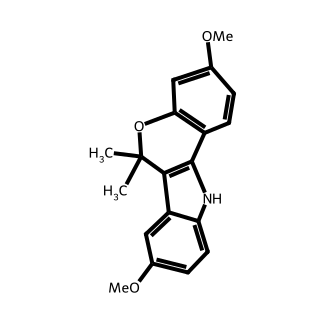 COc1ccc2c(c1)OC(C)(C)c1c-2[nH]c2ccc(OC)cc12